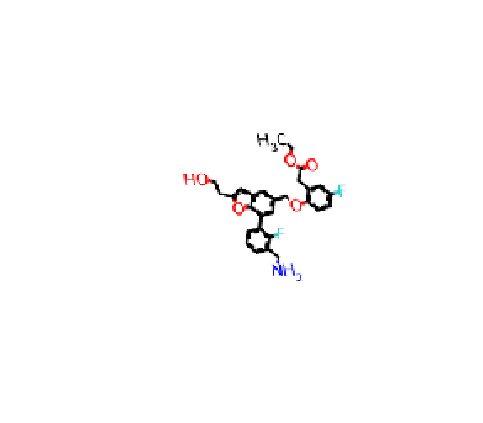 CCOC(=O)Cc1cc(F)ccc1OCc1cc(-c2cccc(CN)c2F)c2oc(CCO)cc2c1